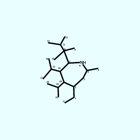 CCC1CC(C)NC(C(C)(C)C(C)C)C(C(C)C)C1C(C)C